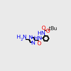 CC(C)(C)OC(=O)Nc1ccccc1NC(=O)c1cnc(CN)cn1